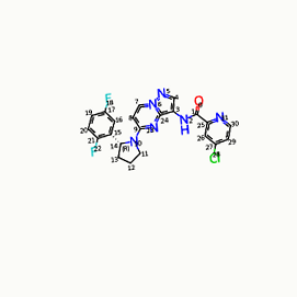 O=C(Nc1cnn2ccc(N3CCC[C@@H]3c3cc(F)ccc3F)nc12)c1cc(Cl)ccn1